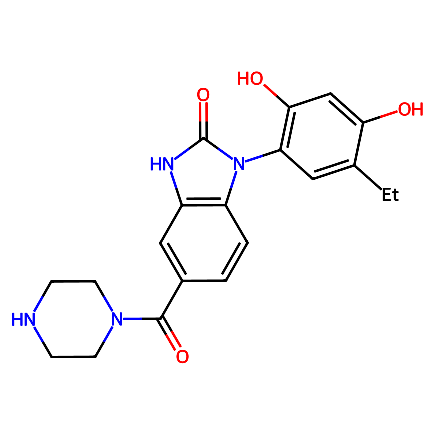 CCc1cc(-n2c(=O)[nH]c3cc(C(=O)N4CCNCC4)ccc32)c(O)cc1O